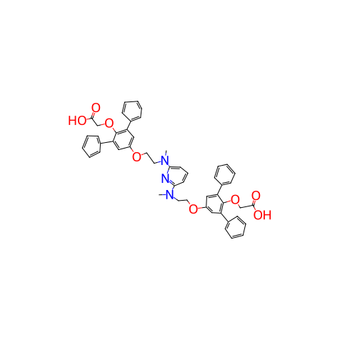 CN(CCOc1cc(-c2ccccc2)c(OCC(=O)O)c(-c2ccccc2)c1)c1cccc(N(C)CCOc2cc(-c3ccccc3)c(OCC(=O)O)c(-c3ccccc3)c2)n1